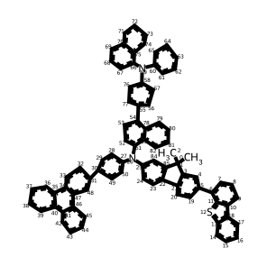 CC1(C)c2cc(-c3cccc4c3sc3ccccc34)ccc2-c2ccc(N(c3ccc(-c4ccc5c6ccccc6c6ccccc6c5c4)cc3)c3ccc(-c4ccc(N(c5ccccc5)c5cccc6ccccc56)cc4)c4ccccc34)cc21